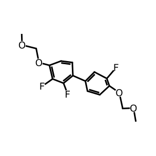 COCOc1ccc(-c2ccc(OCOC)c(F)c2F)cc1F